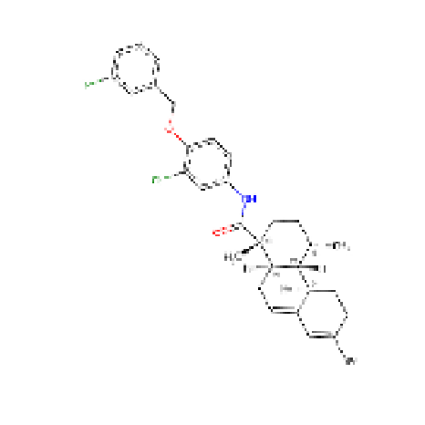 CC(C)C1=CC2=CC[C@@H]3[C@H]([C@@H](C)CC[C@@]3(C)C(=O)Nc3ccc(OCc4cccc(F)c4)c(Cl)c3)[C@H]2CC1